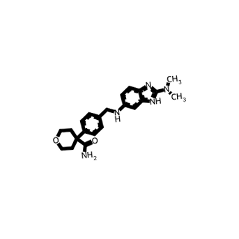 CN(C)c1nc2ccc(NCc3ccc(C4(C(N)=O)CCOCC4)cc3)cc2[nH]1